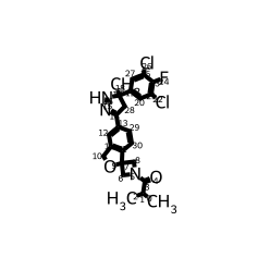 CC(C)C(=O)N1CC2(C1)OCc1cc(C3=NNC(C)(c4cc(Cl)c(F)c(Cl)c4)C3)ccc12